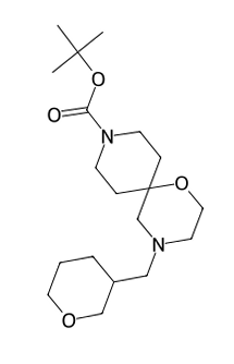 CC(C)(C)OC(=O)N1CCC2(CC1)CN(CC1CCCOC1)CCO2